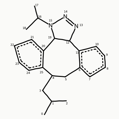 CC(C)CC1Cc2ccccc2C2N=NN(C(C)C)C2c2ccccc21